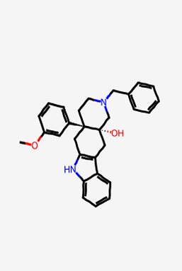 COc1cccc([C@@]23CCN(Cc4ccccc4)C[C@@]2(O)Cc2c([nH]c4ccccc24)C3)c1